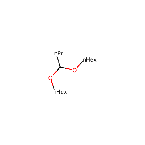 CCCCCCOC(CCC)OCCCCCC